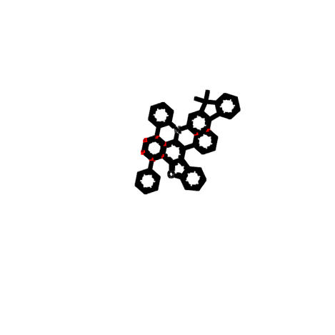 CC1(C)c2ccccc2-c2ccc(N(c3ccccc3-c3ccc(-c4ccccc4)cc3)c3c(-c4ccccc4)c4c5ccccc5oc4c4ccccc34)cc21